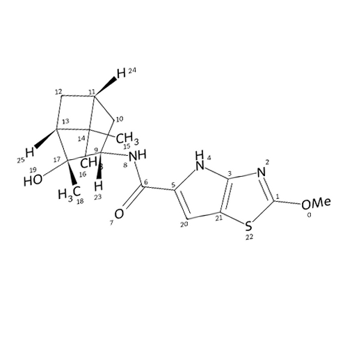 COc1nc2[nH]c(C(=O)N[C@H]3C[C@H]4C[C@H](C4(C)C)[C@@]3(C)O)cc2s1